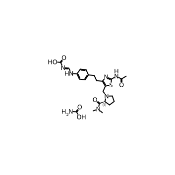 CC(=O)Nc1nc(CCc2ccc(NC=NC(=O)O)cc2)c(CN2CCC[C@H]2C(=O)N(C)C)s1.NC(=O)O